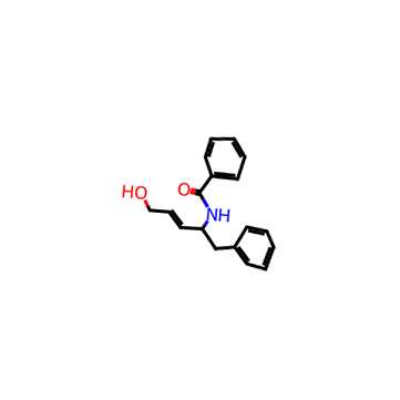 O=C(NC(C=CCO)Cc1ccccc1)c1ccccc1